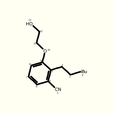 CCC(C)CCc1c(C#N)cccc1OCCO